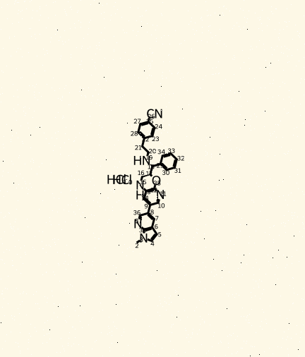 Cl.Cl.Cn1ccc2cc(-c3cnc4c(c3)NC[C@@H]([C@H](NCCc3ccc(C#N)cc3)c3ccccc3)O4)cnc21